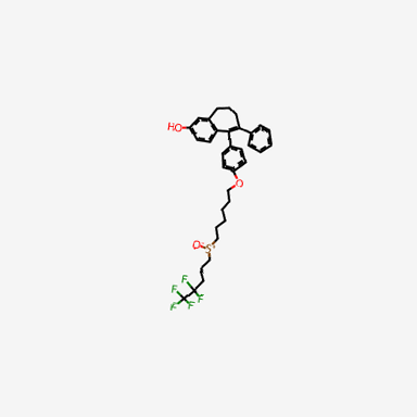 [O-][S+](CCCCCCOc1ccc(C2=C(c3ccccc3)CCCc3cc(O)ccc32)cc1)CCCC(F)(F)C(F)(F)F